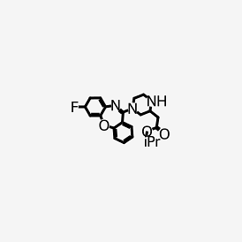 CC(C)OC(=O)CC1CN(C2=NC3=CCC(F)C=C3Oc3ccccc32)CCN1